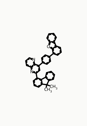 CC1(C)c2ccccc2-c2c(-c3cc(-c4ccc(-c5cccc6c5oc5ccccc56)cc4)c4ncccc4n3)cccc21